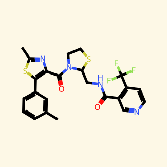 Cc1cccc(-c2sc(C)nc2C(=O)N2CCSC2CNC(=O)c2cnccc2C(F)(F)F)c1